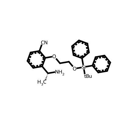 C[C@@H](N)c1cccc(C#N)c1OCCO[Si](c1ccccc1)(c1ccccc1)C(C)(C)C